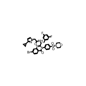 O=C(Cn1ccc(C2CC2)n1)N[C@H](Cc1cc(F)cc(F)c1)c1nc2cc(Br)ccc2c(=O)n1-c1ccc(S(=O)(=O)N2CCOCC2)cc1